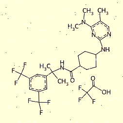 Cc1cnc(NC2CCC(C(=O)NC(C)(C)c3cc(C(F)(F)F)cc(C(F)(F)F)c3)CC2)nc1N(C)C.O=C(O)C(F)(F)F